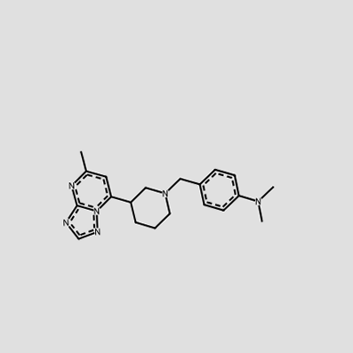 Cc1cc(C2CCCN(Cc3ccc(N(C)C)cc3)C2)n2ncnc2n1